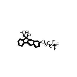 CCC1(CC)c2ccccc2-c2cc3ccc(OSOOC(F)(F)F)cc3cc21